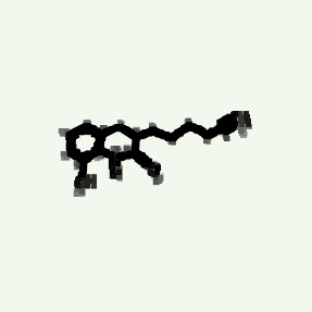 C#CCCCCC1Cc2cccc(O)c2NC1=O